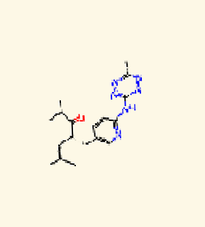 Cc1nnc(Nc2ccc(C[C@H](CC(C)C)C(=O)C(C)C)cn2)nn1